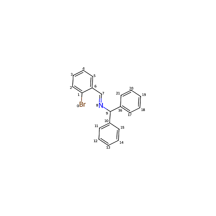 Brc1ccccc1/C=N/C(c1ccccc1)c1ccccc1